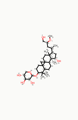 CO[C@H](CO)C[C@@H](C)[C@H]1C[C@H](O)[C@@]2(C)C3CC[C@H]4C(C)(C)C(OC5OC[C@@H](O)C(O)[C@H]5O)CCC45CC35CCC12C